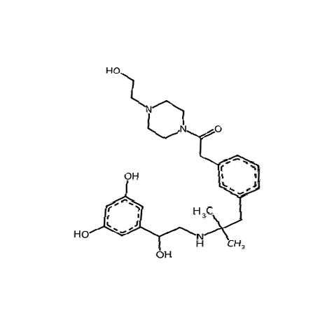 CC(C)(Cc1cccc(CC(=O)N2CCN(CCO)CC2)c1)NCC(O)c1cc(O)cc(O)c1